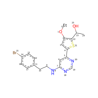 CCOc1cc(-c2cc(NCCc3ccc(Br)cc3)ncn2)sc1C(C)O